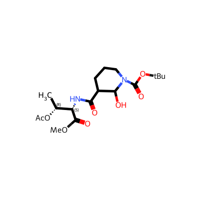 COC(=O)[C@@H](NC(=O)C1CCCN(C(=O)OC(C)(C)C)C1O)[C@@H](C)OC(C)=O